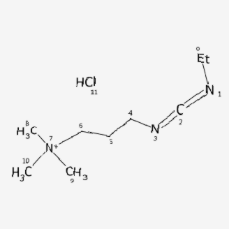 CCN=C=NCCC[N+](C)(C)C.Cl